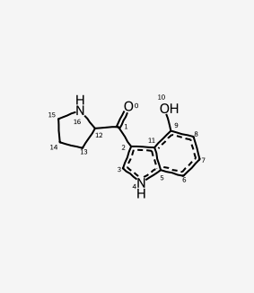 O=C(c1c[nH]c2cccc(O)c12)C1CCCN1